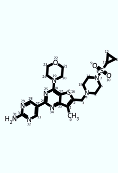 Cc1c(CN2CCN(S(=O)(=O)C3CC3)CC2)sc2c(N3CCOCC3)nc(-c3cnc(N)nc3)nc12